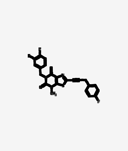 Cn1c(=O)n(Cc2ccc(F)c(F)c2)c(=O)c2nc(C#CCc3ccc(F)cc3)sc21